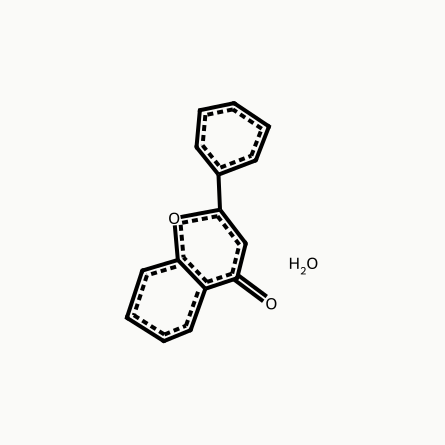 O.O=c1cc(-c2ccccc2)oc2ccccc12